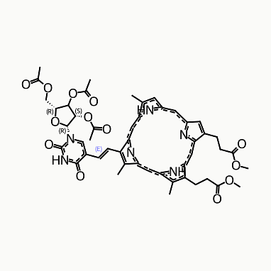 COC(=O)CCC1=Cc2cc3cc(C)c(cc4nc(cc5[nH]c(cc1n2)c(CCC(=O)OC)c5C)C(C)=C4/C=C/c1cn([C@@H]2O[C@H](COC(C)=O)C(OC(C)=O)[C@@H]2OC(C)=O)c(=O)[nH]c1=O)[nH]3